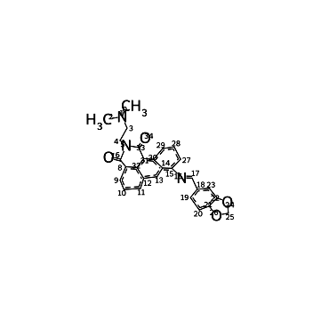 CN(C)CCN1C(=O)c2cccc3cc4c(N=Cc5ccc6c(c5)OCO6)cccc4c(c23)C1=O